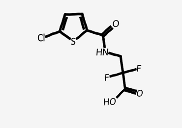 O=C(NCC(F)(F)C(=O)O)c1ccc(Cl)s1